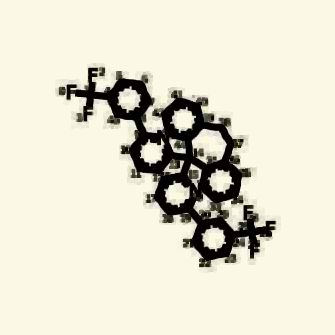 FC(F)(F)c1cccc(-c2cccc(C3(c4cccc(-c5cccc(C(F)(F)F)c5)n4)c4ccccc4CCc4ccccc43)n2)c1